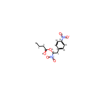 CCCC(=O)OC(Cc1ccc([N+](=O)[O-])cc1)[N+](=O)[O-]